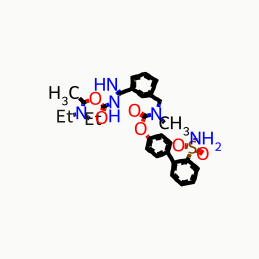 CCN(CC)C(C)OC(=O)NC(=N)c1cccc(CN(C)C(=O)Oc2ccc(-c3ccccc3S(N)(=O)=O)cc2)c1